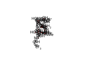 CN[C@H](CC(C)C)C(=O)NC1C(=O)N[C@@H](CC(N)=O)C(=O)N[C@H]2C(=O)N[C@H]3C(=O)N[C@H](C(=O)N[C@@H](C(=O)O)c4cc(O)c(CNCC[N+](C)(C)C)c(O)c4-c4cc3ccc4O)[C@H](O[C@H]3C[C@](C)(N)[C@@H](O)[C@H](C)O3)c3ccc(c(Cl)c3)Oc3cc2cc(c3O[C@@H]2O[C@H](CO)[C@@H](O[C@@H]3O[C@H](CNCc4cccc(NC(=O)c5cccc(OC(F)(F)F)c5)c4)[C@H](O)[C@H](O)[C@H]3O)[C@H](O)[C@H]2O)Oc2ccc(cc2Cl)[C@H]1O